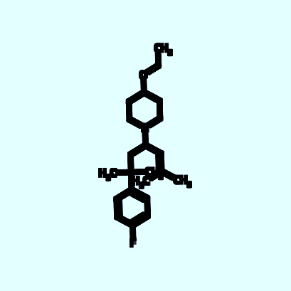 CCOC1CCN(C(C=C(C)C)CC(C)(C)c2ccc(F)cc2)CC1